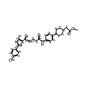 COC(=O)CC1CCC(c2ccc(NC(=O)CCNC(=O)c3sc(-c4ccc(Cl)cc4)nc3C)cc2)CC1